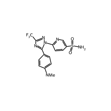 CNc1ccc(-c2nc(C(F)(F)F)nn2-c2ccc(S(N)(=O)=O)cn2)cc1